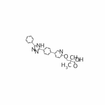 CC(C)(COc1ccc(-c2ccc(-c3nnc(-c4ccccc4)[nH]3)cc2)cn1)C(=O)O